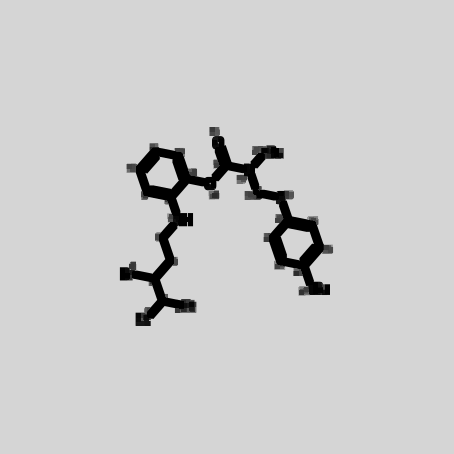 CCC(CC)C(Br)CCNc1ccccc1OC(=O)N(SSc1ccc(C(C)(C)C)cc1)C(C)(C)C